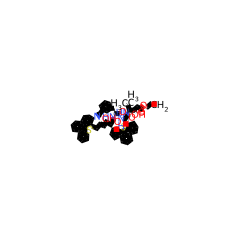 C=CCOC(=O)C[C@H](O)[C@H](NC(=O)[C@@H](CSC(c1ccccc1)(c1ccccc1)c1ccccc1)NC(=O)[C@@H](Cc1cccc(C#N)c1)NC(=O)C[C@H](O)C=CCCSC(c1ccccc1)(c1ccccc1)c1ccccc1)C(C)C